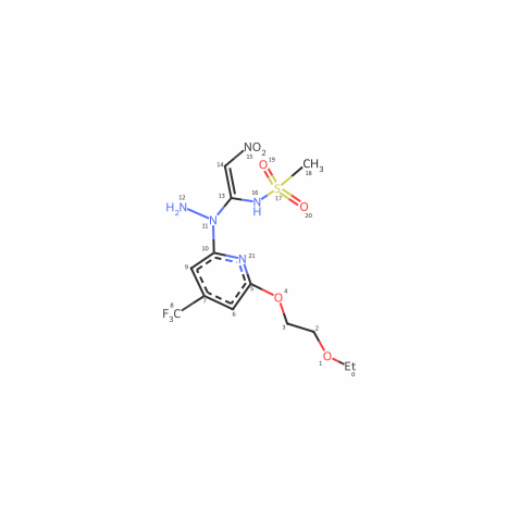 CCOCCOc1cc(C(F)(F)F)cc(N(N)/C(=C/[N+](=O)[O-])NS(C)(=O)=O)n1